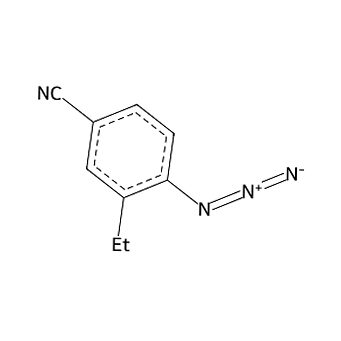 CCc1cc(C#N)ccc1N=[N+]=[N-]